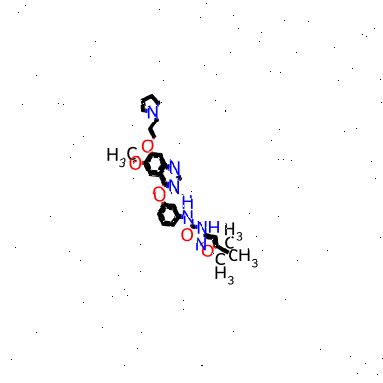 COc1cc2c(Oc3cccc(NC(=O)Nc4cc(C(C)(C)C)on4)c3)ncnc2cc1OCCCN1CCCC1